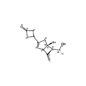 C[C@@H](O)[C@H]1C(=O)N2C=C(C3CC(=O)C3)S[C@H]12